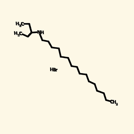 Br.CCCCCCCCCCCCCCCCNC(CC)CC